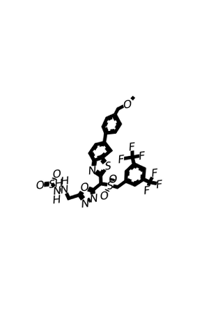 COCc1ccc(-c2ccc3nc(C(c4nnc(CNN[SH](=O)=O)o4)S(=O)(=O)Cc4cc(C(F)(F)F)cc(C(F)(F)F)c4)sc3c2)cc1